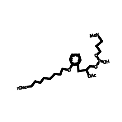 CCCCCCCCCCCCCCCCCCOc1ccccc1CC(COP(O)OCCCNC)OC(C)=O